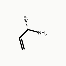 C=C[C@@H](N)CC